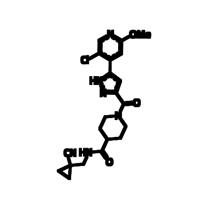 COc1cc(-c2cc(C(=O)N3CCC(C(=O)NCC4(C#N)CC4)CC3)n[nH]2)c(Cl)cn1